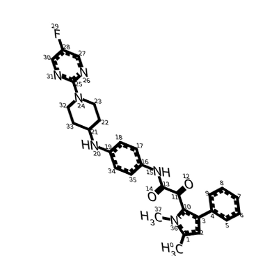 Cc1cc(-c2ccccc2)c(C(=O)C(=O)Nc2ccc(NC3CCN(c4ncc(F)cn4)CC3)cc2)n1C